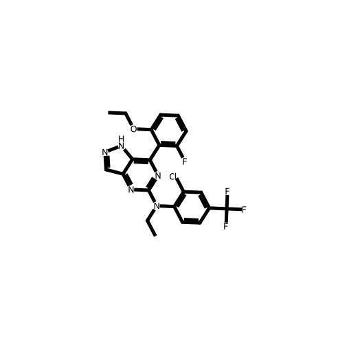 CCOc1cccc(F)c1-c1nc(N(CC)c2ccc(C(F)(F)F)cc2Cl)nc2cn[nH]c12